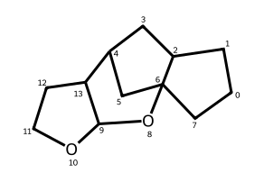 C1CC2CC3CC2(C1)OC1OCCC31